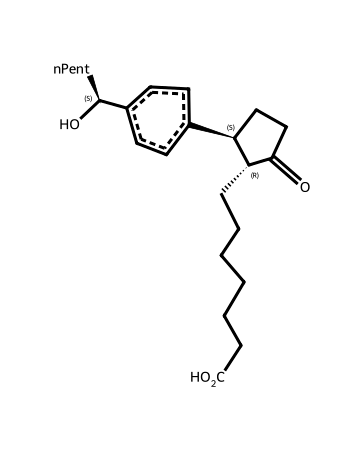 CCCCC[C@H](O)c1ccc([C@H]2CCC(=O)[C@@H]2CCCCCCC(=O)O)cc1